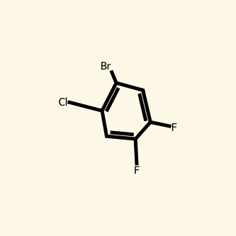 Fc1cc(Cl)c(Br)cc1F